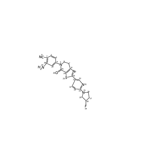 N#Cc1ccc(N2CCc3nc(-c4ccc(N5CCC(F)C5)nc4)sc3C2=O)cc1N